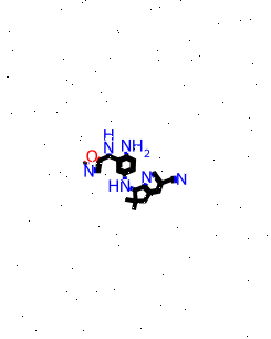 CC1(C)Cc2cc(C#N)cnc2C1Nc1ccc(N)c(C(=N)c2cnco2)c1